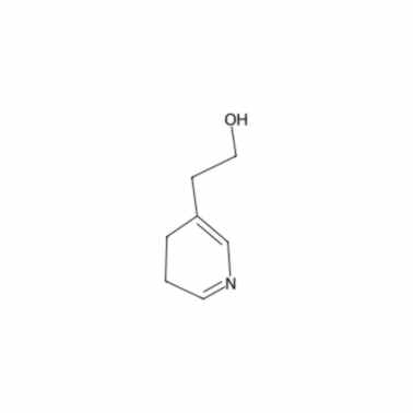 OCCC1=CN=CCC1